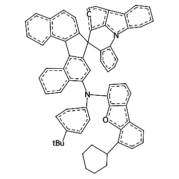 CC(C)(C)c1ccc(N(c2cc3c(c4ccccc24)-c2c(ccc4ccccc24)C32c3ccccc3-n3c4ccccc4c4cccc2c43)c2cccc3c2oc2c(C4CCCCC4)cccc23)cc1